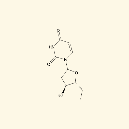 CC[C@H]1OC(n2ccc(=O)[nH]c2=O)C[C@@H]1O